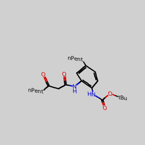 CCCCCC(=O)CC(=O)Nc1cc(CCCCC)ccc1NC(=O)OC(C)(C)C